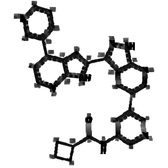 O=C(Nc1cncc(-c2cnc3[nH]nc(-c4cc5c(-c6cccnc6)ccnc5[nH]4)c3c2)c1)C1CCC1